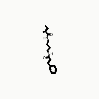 C/C=C(\C)C(=O)NCCCCNC(=O)C=Cc1ccccc1